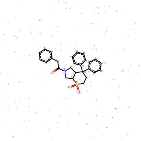 O=C(Cc1ccccc1)N1CC2C(C1)S(=O)(=O)CCC2(c1ccccc1)c1ccccc1